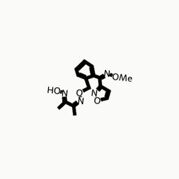 CON=C(c1ccon1)c1ccccc1CON=C(C)C(C)=NO